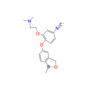 [C-]#[N+]c1ccc(Oc2ccc3c(c2)COB3C)c(OCCN(C)C)c1